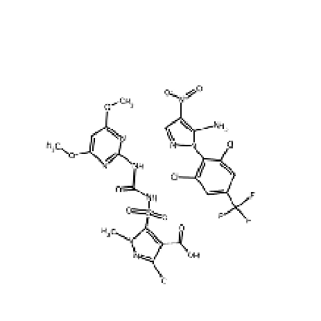 COc1cc(OC)nc(NC(=O)NS(=O)(=O)c2c(C(=O)O)c(Cl)nn2C)n1.Nc1c([N+](=O)[O-])cnn1-c1c(Cl)cc(C(F)(F)F)cc1Cl